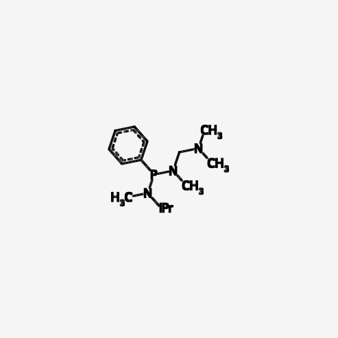 CC(C)N(C)P(c1ccccc1)N(C)CN(C)C